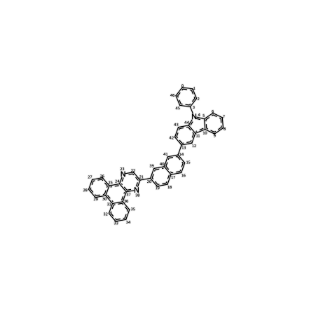 c1ccc(-n2c3ccccc3c3cc(-c4ccc5ccc(-c6cnc7c8ccccc8c8ccccc8c7n6)cc5c4)ccc32)cc1